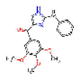 COc1cc(C(=O)c2c[nH]c([AsH]c3ccccc3)n2)cc(OC)c1OC